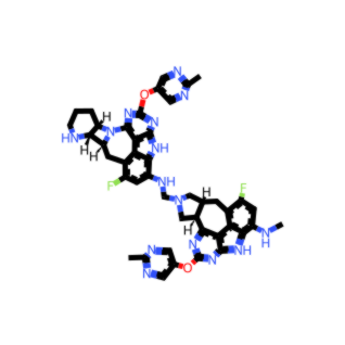 CNc1cc(F)c2c3c1[nH]c1nc(Oc4cnc(C)nc4)nc(c13)[C@H]1CN(CNc3cc(F)c4c5c3[nH]c3nc(Oc6cnc(C)nc6)nc(c35)N3[C@H]5CCCN[C@H]5[C@@H]3C4)C[C@@H]1C2